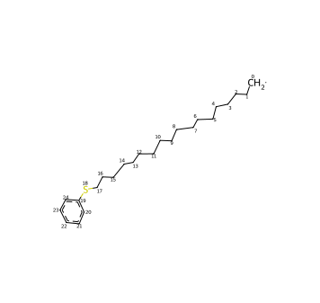 [CH2]CCCCCCCCCCCCCCCCCSc1ccccc1